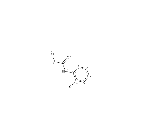 O=C(CO)Nc1ccccc1O